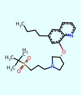 CCCCc1cc(O[C@@H]2CCN(CCCS(=O)(=O)C(C)(C)C)C2)c2ncccc2c1